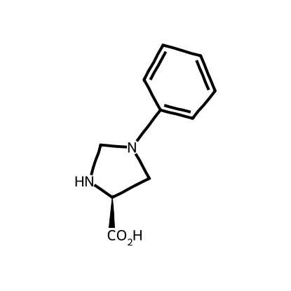 O=C(O)[C@@H]1CN(c2ccccc2)CN1